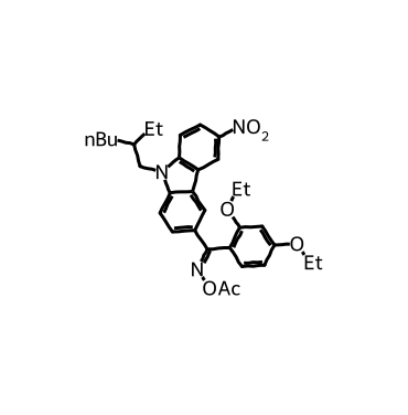 CCCCC(CC)Cn1c2ccc(/C(=N/OC(C)=O)c3ccc(OCC)cc3OCC)cc2c2cc([N+](=O)[O-])ccc21